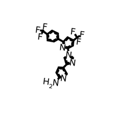 Nc1ccc(-c2cn(-c3cc(C(F)(F)F)cc(-c4ccc(C(F)(F)F)cc4)n3)cn2)cn1